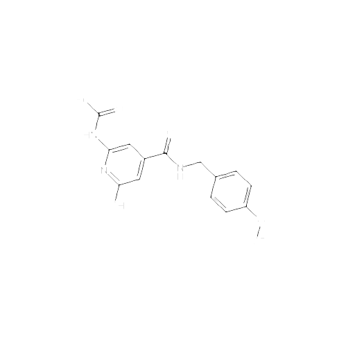 CCC(=O)Nc1cc(C(=O)NCc2ccc(OC(F)(F)F)cc2)cc(C)n1